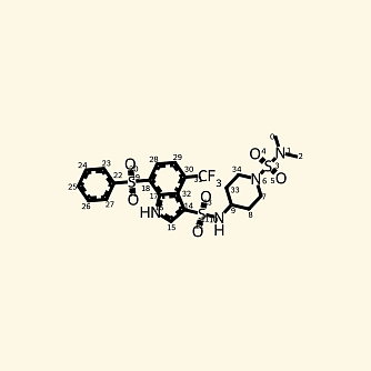 CN(C)S(=O)(=O)N1CCC(NS(=O)(=O)c2c[nH]c3c(S(=O)(=O)c4ccccc4)ccc(C(F)(F)F)c23)CC1